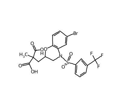 CC(CC1CN(S(=O)(=O)c2cccc(C(F)(F)F)c2)c2cc(Br)ccc2O1)(C(=O)O)C(=O)O